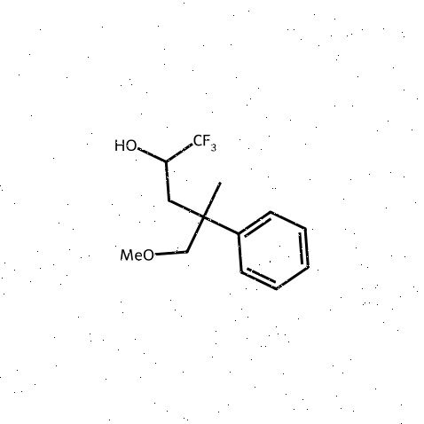 COCC(C)(CC(O)C(F)(F)F)c1ccccc1